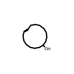 OC1CCCCCC/C=C/CCCCCCC1